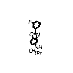 CC(C)C(=O)Nc1ccc2oc(-c3cccc(F)c3)nc2c1